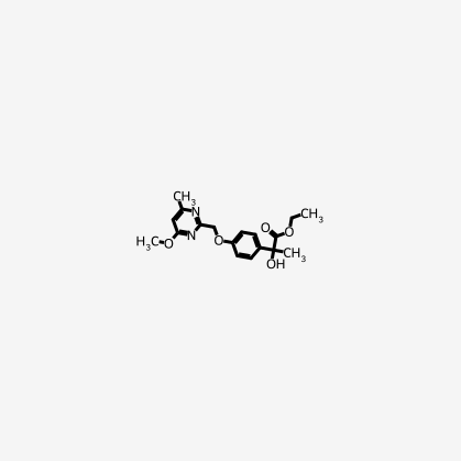 CCOC(=O)C(C)(O)c1ccc(OCc2nc(C)cc(OC)n2)cc1